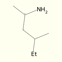 CCC(C)C[C](C)N